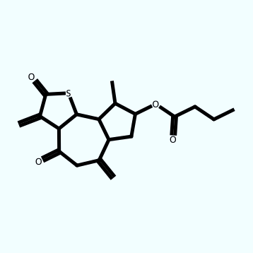 C=C1CC(=O)C2C(=C)C(=O)SC2C2C1CC(OC(=O)CCC)C2C